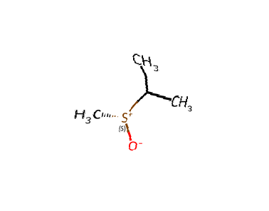 CC(C)[S@@+](C)[O-]